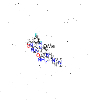 C=C(C(N)=O)c1cc(Nc2cc(N3OCC[C@@H]3c3cc(F)cc(F)c3)ncn2)c(OC)cc1N1CCC(N2CC[C@@H](N(C)C)C2)CC1